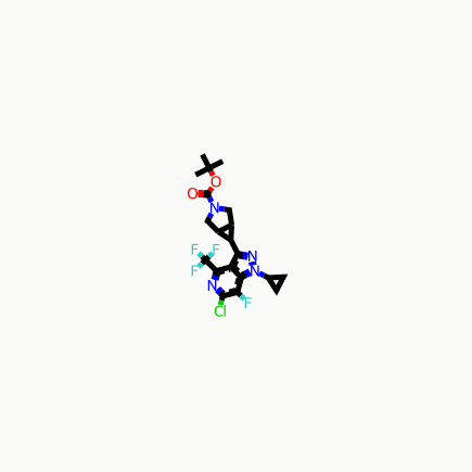 CC(C)(C)OC(=O)N1CC2C(C1)C2c1nn(C2CC2)c2c(F)c(Cl)nc(C(F)(F)F)c12